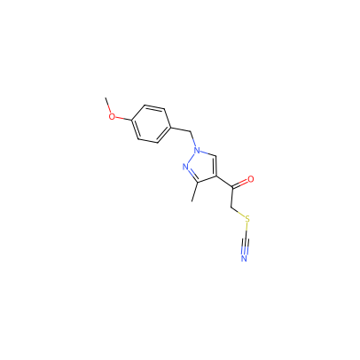 COc1ccc(Cn2cc(C(=O)CSC#N)c(C)n2)cc1